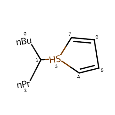 [CH2]CCCC(CCC)[SH]1C=CC=C1